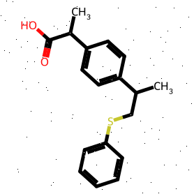 CC(CSc1ccccc1)c1ccc(C(C)C(=O)O)cc1